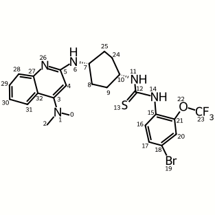 CN(C)c1cc(N[C@H]2CC[C@@H](NC(=S)Nc3ccc(Br)cc3OC(F)(F)F)CC2)nc2ccccc12